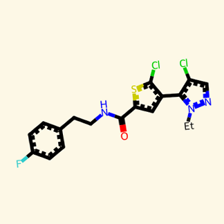 CCn1ncc(Cl)c1-c1cc(C(=O)NCCc2ccc(F)cc2)sc1Cl